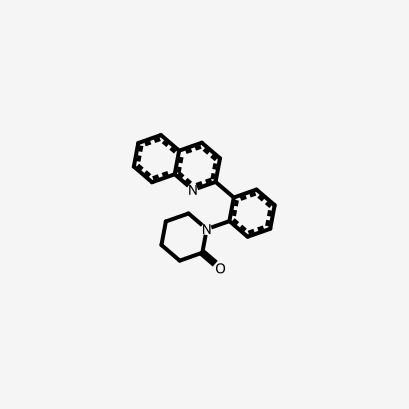 O=C1CCCCN1c1ccccc1-c1ccc2ccccc2n1